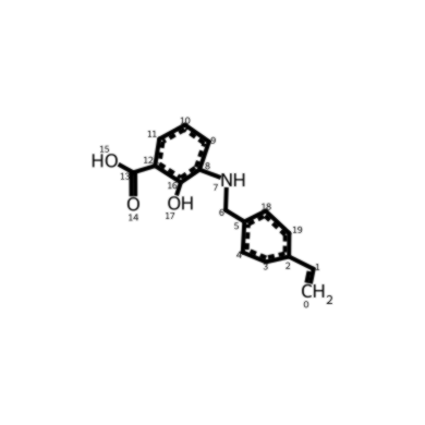 C=Cc1ccc(CNc2cccc(C(=O)O)c2O)cc1